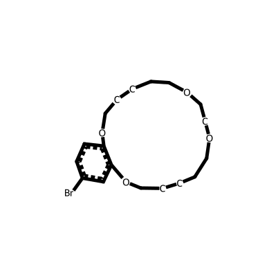 Brc1ccc2c(c1)OCCCCCOCCOCCCCCO2